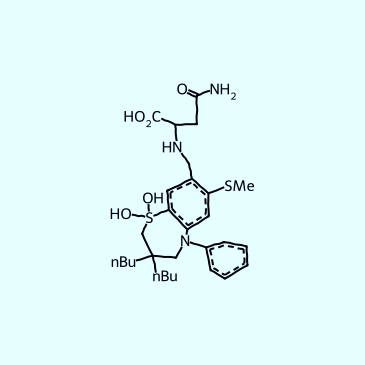 CCCCC1(CCCC)CN(c2ccccc2)c2cc(SC)c(CNC(CC(N)=O)C(=O)O)cc2S(O)(O)C1